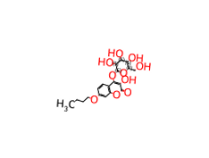 CCCCOc1ccc2c(O[C@@H]3O[C@H](CO)[C@@H](O)[C@H](O)[C@@H]3O)c(O)c(=O)oc2c1